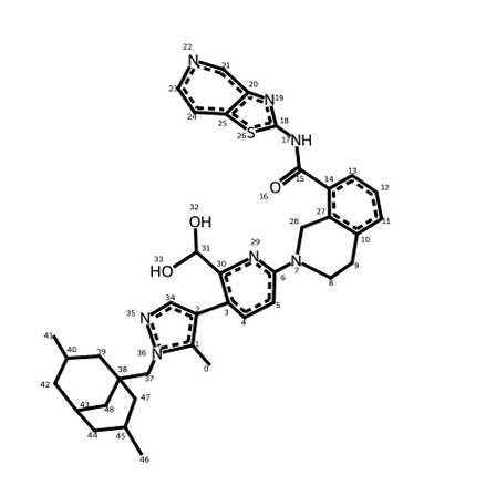 Cc1c(-c2ccc(N3CCc4cccc(C(=O)Nc5nc6cnccc6s5)c4C3)nc2C(O)O)cnn1CC12CC(C)CC(CC(C)C1)C2